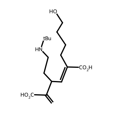 C=C(C(=O)O)C(C=C(CCCCO)C(=O)O)CCNC(C)(C)C